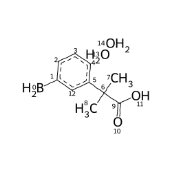 Bc1cccc(C(C)(C)C(=O)O)c1.O.O